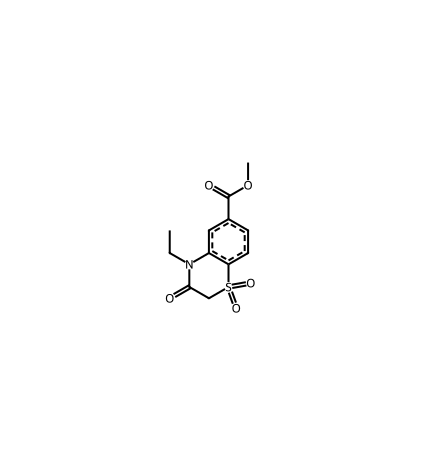 CCN1C(=O)CS(=O)(=O)c2ccc(C(=O)OC)cc21